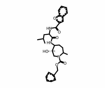 CC(C)CC(NC(=O)c1cc2ccccc2o1)C(=O)NC1CCC(C)N(C(=O)OCc2ccccc2)C[C@@H]1O